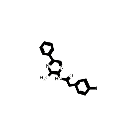 Cc1nc(-c2ccccc2)cnc1NC(=O)Cc1ccc(I)cc1